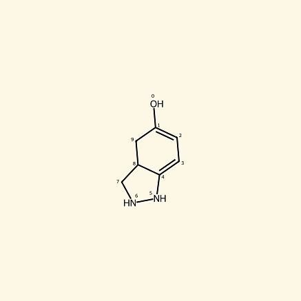 OC1=CC=C2NNCC2C1